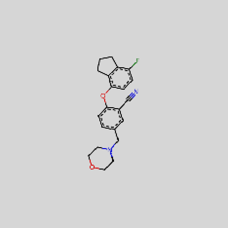 N#Cc1cc(CN2CCOCC2)ccc1Oc1ccc(F)c2c1CCC2